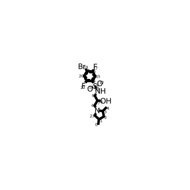 CC1CC(C)N(CC(O)CNS(=O)(=O)c2cc(F)c(Br)cc2F)C1